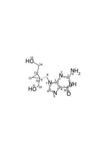 Nc1nc2c(ncn2C[C@]2(CO)CC2CO)c(=O)[nH]1